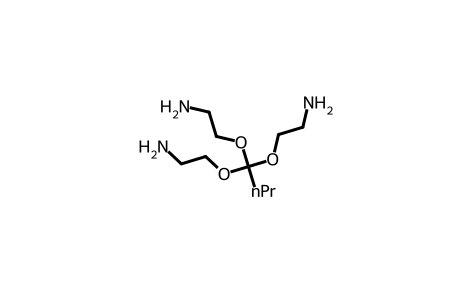 CCCC(OCCN)(OCCN)OCCN